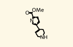 COC(=O)c1ccc(C2=CCNCC2)cn1